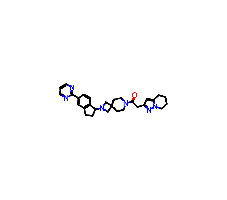 O=C(Cc1cc2n(n1)CCCC2)N1CCC2(CC1)CN(C1CCc3cc(-c4ncccn4)ccc31)C2